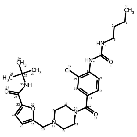 CCCCNC(=O)Nc1ccc(C(=O)N2CCN(Cc3ccc(C(=O)NC(C)(C)C)o3)CC2)cc1Cl